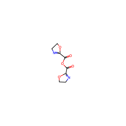 O=C(OC(=O)C1=NCCO1)C1=NCCO1